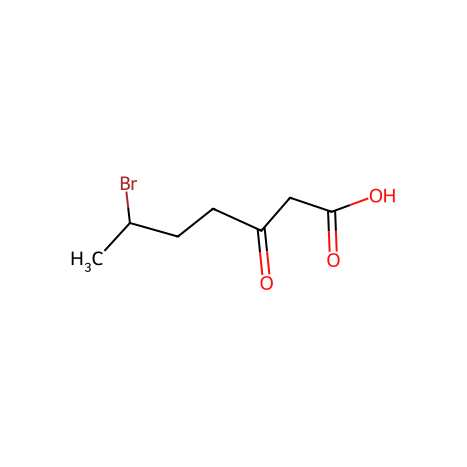 CC(Br)CCC(=O)CC(=O)O